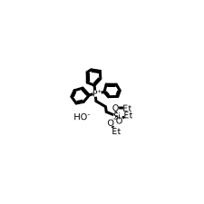 CCO[Si](CCC[P+](c1ccccc1)(c1ccccc1)c1ccccc1)(OCC)OCC.[OH-]